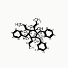 CC=C[C@@]1(O)[C@](O)(C=CC)[C@@](O)(Cc2ccccc2)[C@@](O)(Cc2ccccc2)[C@@](O)(C=CC)[C@]1(O)Cc1ccccc1